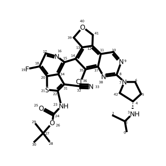 CC(C)N[C@H]1CCN(c2ncc3c4c(c(-c5ncc(F)c6sc(NC(=O)OC(C)(C)C)c(C#N)c56)c(Cl)c3n2)COC4)C1